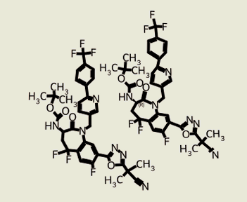 CC(C)(C)OC(=O)NC1CC(F)(F)c2cc(F)c(-c3nnc(C(C)(C)C#N)o3)cc2N(Cc2ccc(-c3ccc(C(F)(F)F)cc3)nc2)C1=O.CC(C)(C)OC(=O)N[C@@H]1CC(F)(F)c2cc(F)c(-c3nnc(C(C)(C)C#N)o3)cc2N(Cc2ccc(-c3ccc(C(F)(F)F)cc3)nc2)C1=O